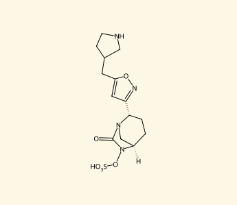 O=C1N2C[C@@H](CC[C@H]2c2cc(CC3CCNC3)on2)N1OS(=O)(=O)O